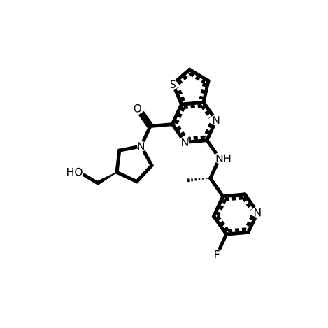 C[C@H](Nc1nc(C(=O)N2CC[C@@H](CO)C2)c2sccc2n1)c1cncc(F)c1